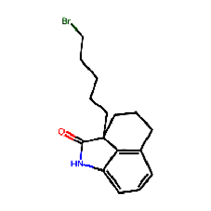 O=C1Nc2cccc3c2C1(CCCCCBr)CCC3